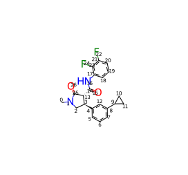 CN1C[C@H](c2cccc(C3CC3)c2)[C@@H](C(=O)Nc2cccc(F)c2F)C1=O